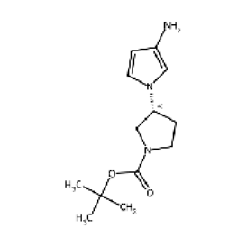 CC(C)(C)OC(=O)N1CC[C@@H](n2ccc(N)c2)C1